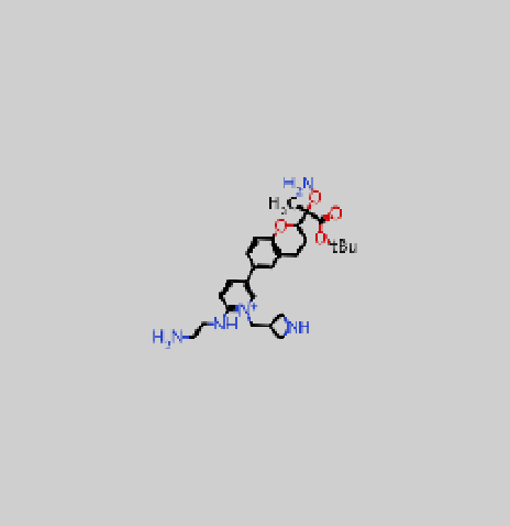 CC(C)(C)OC(=O)C(C)(ON)C1CCc2cc(-c3ccc(NCCN)[n+](CC4CNC4)c3)ccc2O1